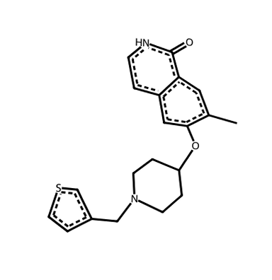 Cc1cc2c(=O)[nH]ccc2cc1OC1CCN(Cc2ccsc2)CC1